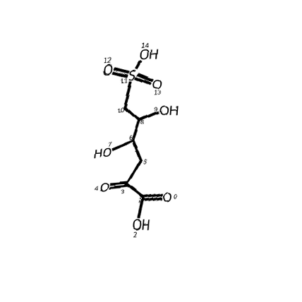 O=C(O)C(=O)CC(O)C(O)CS(=O)(=O)O